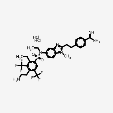 CCc1c(S(=O)(=O)N(CC)c2ccc3c(c2)nc(CCc2ccc(C(=N)N)cc2)n3C)cc(C(F)(F)F)c(CCN)c1C(F)(F)F.Cl.Cl